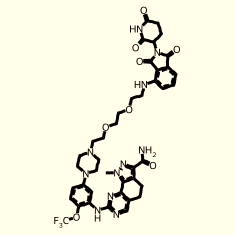 Cn1nc(C(N)=O)c2c1-c1nc(Nc3cc(N4CCN(CCOCCOCCNc5cccc6c5C(=O)N(C5CCC(=O)NC5=O)C6=O)CC4)ccc3OC(F)(F)F)ncc1CC2